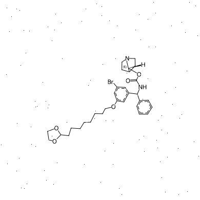 O=C(NC(c1ccccc1)c1cc(Br)cc(OCCCCCCCCC2OCCO2)c1)O[C@H]1CN2CCC1CC2